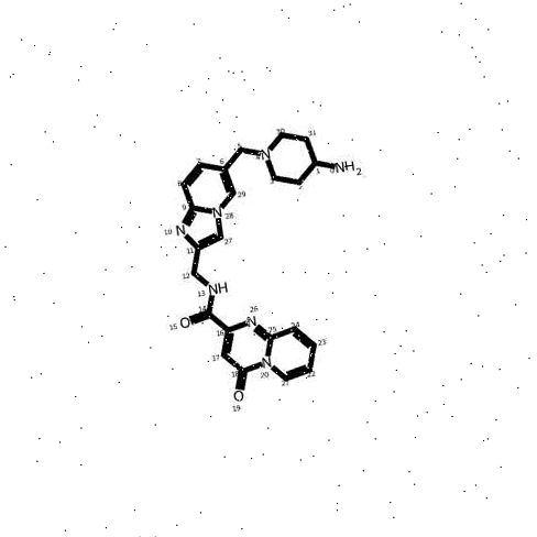 NC1CCN(Cc2ccc3nc(CNC(=O)c4cc(=O)n5ccccc5n4)cn3c2)CC1